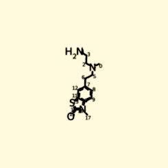 CN(CCN)CCc1ccc2c(c1)sc(=O)n2C